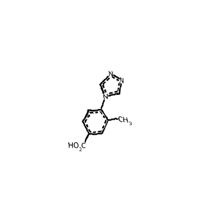 Cc1cc(C(=O)O)ccc1-n1cnnc1